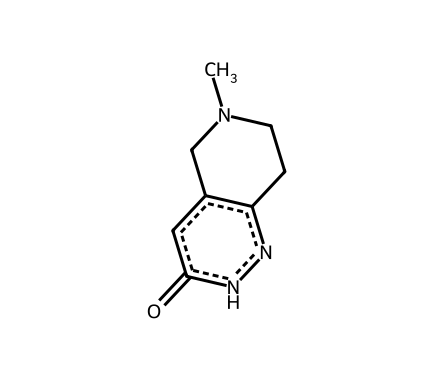 CN1CCc2n[nH]c(=O)cc2C1